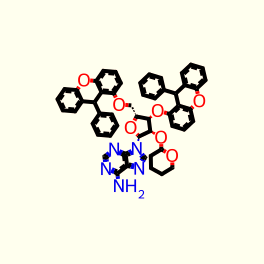 Nc1ncnc2c1ncn2[C@@H]1O[C@H](COc2cccc3c2C(c2ccccc2)c2ccccc2O3)[C@@H](Oc2cccc3c2C(c2ccccc2)c2ccccc2O3)[C@H]1OC1CCCCO1